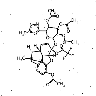 CC(=O)Oc1ccc2c3c1O[C@H]1[C@@](OC(=O)C(F)(F)F)(OC4OC(c5nnc(C)o5)[C@@H](OC(C)=O)[C@H](OC(C)=O)[C@H]4OC(C)=O)C=C[C@H]4[C@@H](C2)N(C)CC[C@@]341